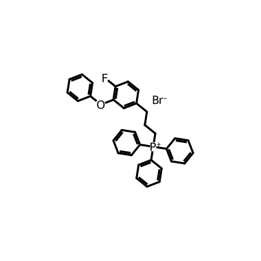 Fc1ccc(CCC[P+](c2ccccc2)(c2ccccc2)c2ccccc2)cc1Oc1ccccc1.[Br-]